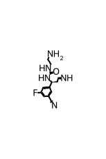 N#Cc1cc(F)cc([C@H](CC=N)NC(=O)NCCN)c1